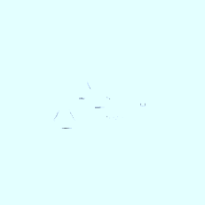 CNC(=O)N(CCOC)C([C]=O)C(=O)C=Cc1ccccc1